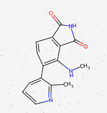 CNc1c(-c2cccnc2C)ccc2c1C(=O)NC2=O